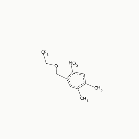 Cc1cc(COCC(F)(F)F)c([N+](=O)[O-])cc1C